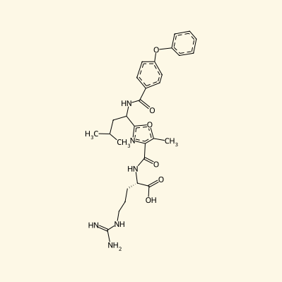 Cc1oc(C(CC(C)C)NC(=O)c2ccc(Oc3ccccc3)cc2)nc1C(=O)N[C@@H](CCCNC(=N)N)C(=O)O